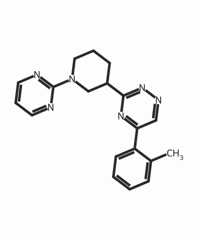 Cc1ccccc1-c1cnnc(C2CCCN(c3ncccn3)C2)n1